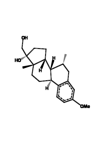 COc1ccc2c(c1)C[C@@H](C)[C@@H]1[C@@H]2CC[C@@]2(C)[C@@H]1CC[C@]2(O)CO